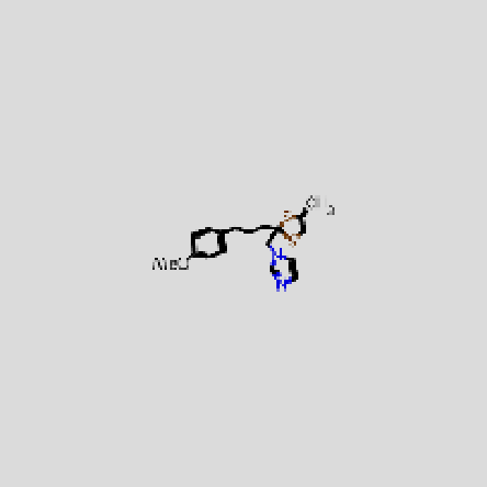 COc1ccc(CCCC2(Cn3ccnc3)SCC(C)S2)cc1